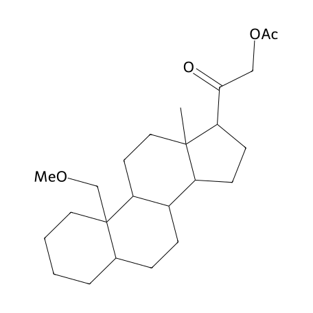 COCC12CCCCC1CCC1C3CCC(C(=O)COC(C)=O)C3(C)CCC12